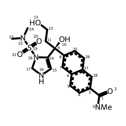 CNC(=O)c1ccc2cc([C@@](O)(CCO)C3=CNCN3S(=O)(=O)N(C)C)ccc2c1